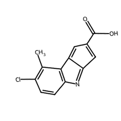 Cc1c(Cl)ccc2c1C1=CC(C(=O)O)=CC1=N2